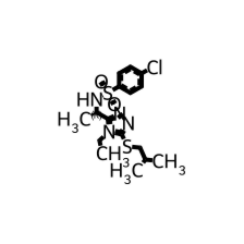 CCn1c(SCC(C)C)nnc1[C@@H](C)NS(=O)(=O)c1ccc(Cl)cc1